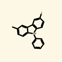 Ic1ccc2c(c1)-c1cc(I)ccc1[SH]2c1ccccc1